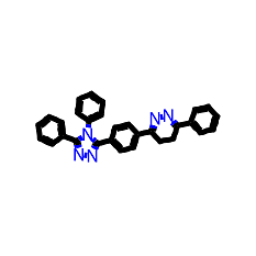 c1ccc(C2=NN=C(c3ccc(-c4nnc(-c5ccccc5)n4-c4ccccc4)cc3)CC2)cc1